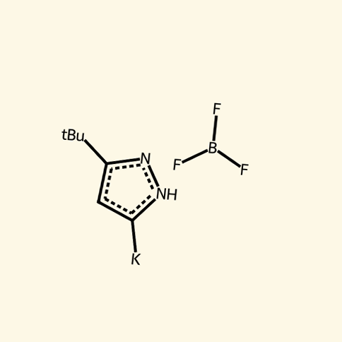 CC(C)(C)c1c[c]([K])[nH]n1.FB(F)F